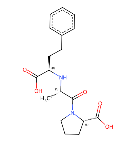 C[C@H](N[C@H](CCc1ccccc1)C(=O)O)C(=O)N1CCC[C@H]1C(=O)O